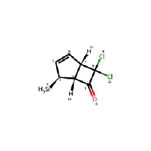 O=C1[C@@H]2[C@@H]([SiH3])C=C[C@@H]2C1(Cl)Cl